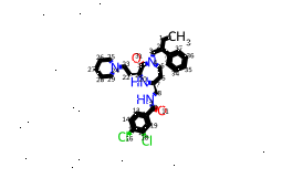 CCC(CN1CC[C@@H](CNC(=O)c2ccc(Cl)c(Cl)c2)N[C@@H](CCN2CCCCC2)C1=O)c1ccccc1